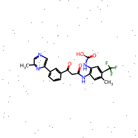 Cc1cncc(-c2cccc(C(=O)CC(=O)Nc3cc(C)c(C(F)(F)F)cc3NC(=O)O)c2)n1